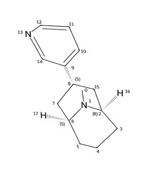 CN1[C@@H]2CCC[C@H]1C[C@H](c1cccnc1)C2